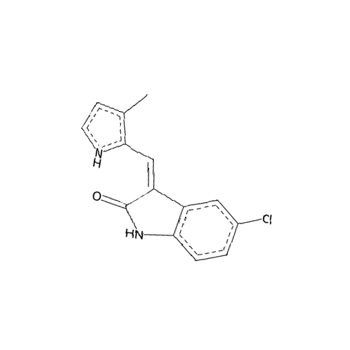 Cc1cc[nH]c1C=C1C(=O)Nc2ccc(Cl)cc21